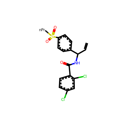 C=CC(NC(=O)c1ccc(Cl)cc1Cl)c1ccc(S(=O)(=O)CCC)cc1